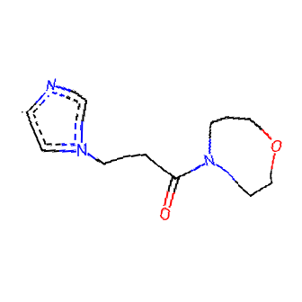 O=C(CCn1c[c]nc1)N1CCOCC1